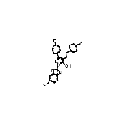 Oc1c(CCc2ccc(F)cc2)c(-c2ccc(F)cc2)nn1-c1nc2cc(Cl)ccc2[nH]1